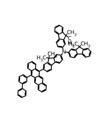 CC1(C)c2ccccc2-c2ccc(N(c3ccc4c(c3)C(C)(C)c3ccccc3-4)c3ccc4c(c3)C(C)(C)c3cc(-c5c6ccccc6c(-c6cccc(-c7ccccc7)c6)c6cc7ccccc7cc56)ccc3-4)cc21